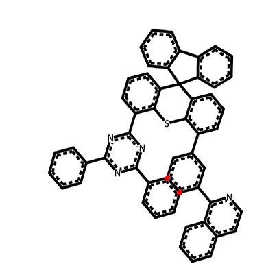 c1ccc(-c2nc(-c3ccccc3)nc(-c3cccc4c3Sc3c(-c5cccc(-c6nccc7ccccc67)c5)cccc3C43c4ccccc4-c4ccccc43)n2)cc1